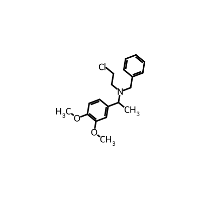 COc1ccc(C(C)N(CCCl)Cc2ccccc2)cc1OC